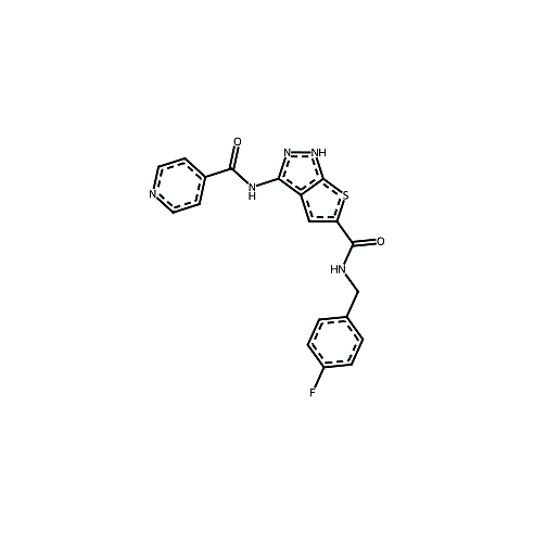 O=C(Nc1n[nH]c2sc(C(=O)NCc3ccc(F)cc3)cc12)c1ccncc1